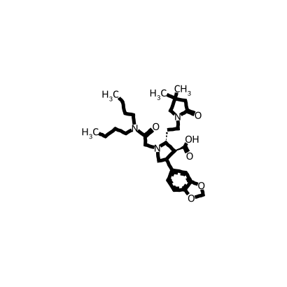 CCCCN(CCCC)C(=O)CN1CC(c2ccc3c(c2)OCO3)[C@H](C(=O)O)[C@H]1CCN1CC(C)(C)CC1=O